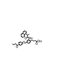 CCCC(=O)c1ccc(OCc2ccc(CCCC(=O)O)c(NC(=O)C(C)c3cccc4ccccc34)c2)cc1